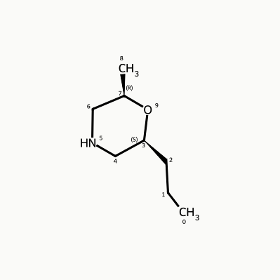 CCC[C@H]1CNC[C@@H](C)O1